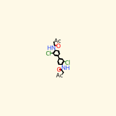 CC(=O)CC(=O)Nc1ccc(-c2ccc(NC(=O)CC(C)=O)c(Cl)c2)cc1Cl